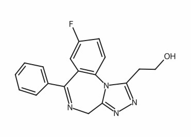 OCCc1nnc2n1-c1ccc(F)cc1C(c1ccccc1)=NC2